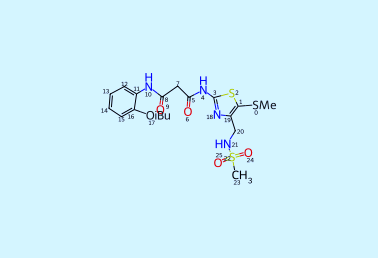 CSc1sc(NC(=O)CC(=O)Nc2ccccc2OCC(C)C)nc1CNS(C)(=O)=O